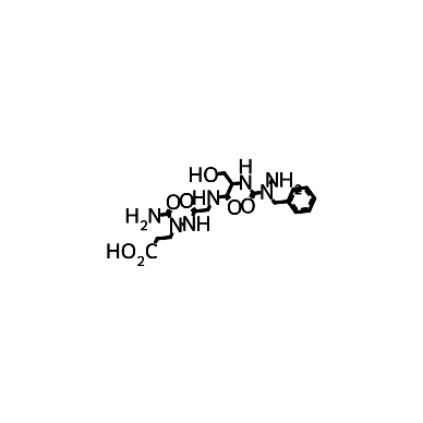 NC(=O)N(CCC(=O)O)NC(=O)CNC(=O)C(CO)NC(=O)N(N)Cc1ccccc1